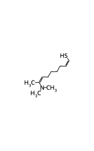 C/C(=C/CCCC/C=C\S)N(C)C